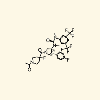 CC(=O)N1CCC(F)(C(=O)N2C[C@@H](N(C)C(=O)N(C)c3cc(C(F)(F)F)cc(C(F)(F)F)c3)[C@H](c3ccc(F)cc3)C2)CC1